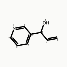 C=CC(O)c1cccnc1